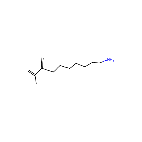 C=C(C)C(=C)CCCCCCCN